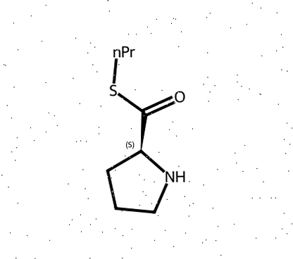 CCCSC(=O)[C@@H]1CCCN1